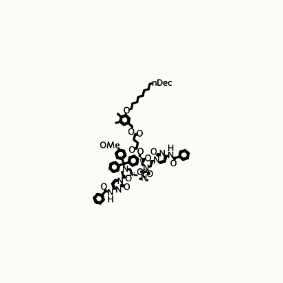 CCCCCCCCCCCCCCCCCCOc1cc(COC(=O)CCC(=O)OC[C@@H]2CN(P(=O)(OC[C@@H]3CN(C(c4ccccc4)(c4ccccc4)c4ccc(OC)cc4)C[C@H](n4ccc(NC(=O)c5ccccc5)nc4=O)O3)N(C)C)C[C@H](n3ccc(NC(=O)c4ccccc4)nc3=O)O2)cc(C)c1C